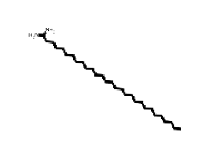 CCCCCCCCCCCCCCCCCCCCCCCCCCCCC(N)N